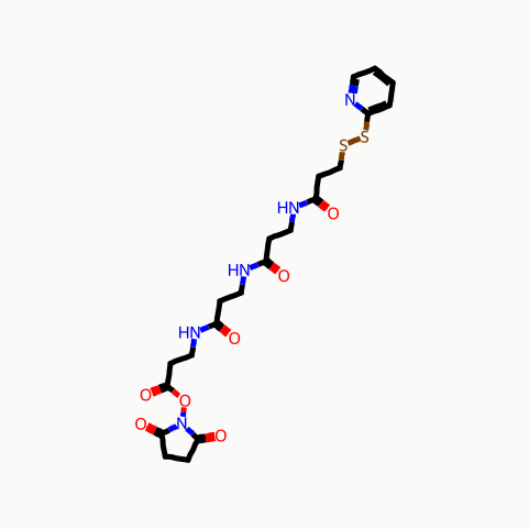 O=C(CCNC(=O)CCSSc1ccccn1)NCCC(=O)NCCC(=O)ON1C(=O)CCC1=O